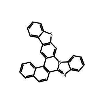 c1ccc2c(c1)ccc1c2c2cc3c(cc2n2c4ccccc4nc12)sc1ccccc13